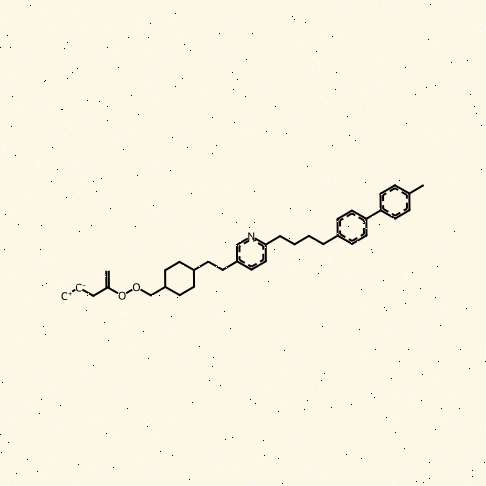 C=C(C[CH-][CH2+])OOCC1CCC(CCc2ccc(CCCCc3ccc(-c4ccc(C)cc4)cc3)nc2)CC1